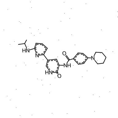 CC(C)Nc1cccc(-c2c[nH]c(=O)c(NC(=O)c3ccc(N4CCCCC4)cc3)c2)n1